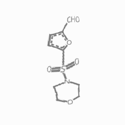 O=Cc1ccc(S(=O)(=O)N2CCOCC2)o1